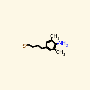 Cc1cc(CCCC[S])cc(C)c1N